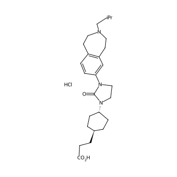 CC(C)CN1CCc2ccc(N3CCN([C@H]4CC[C@H](CCC(=O)O)CC4)C3=O)cc2CC1.Cl